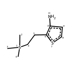 CS(C)(C)CCc1sccc1N